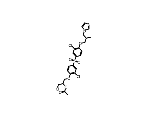 CC(=O)OC(CCl)COc1ccc(S(=O)(=O)c2ccc(OCC(C)Cn3ccnc3)c(Cl)c2)cc1Cl